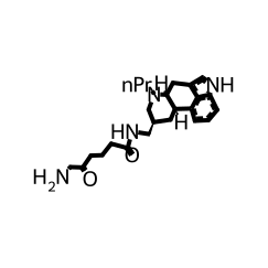 CCCN1C[C@H](CNC(=O)CCCC(=O)CN)C[C@@H]2c3cccc4[nH]cc(c34)C[C@H]21